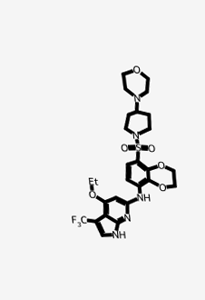 CCOc1cc(Nc2ccc(S(=O)(=O)N3CCC(N4CCOCC4)CC3)c3c2OCCO3)nc2[nH]cc(C(F)(F)F)c12